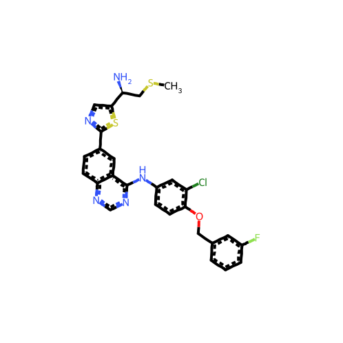 CSC[C@H](N)c1cnc(-c2ccc3ncnc(Nc4ccc(OCc5cccc(F)c5)c(Cl)c4)c3c2)s1